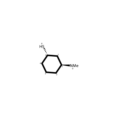 CN[C@H]1CCC[C@H](S)C1